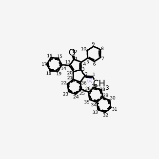 C/C=C1/C2=C(C3=CC=CCC3)C(=O)C(c3ccccc3)=C2c2cccc(-c3ccc4ccccc4c3)c21